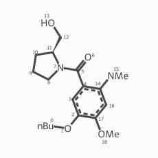 CCCCOc1cc(C(=O)N2CCC[C@H]2CO)c(NC)cc1OC